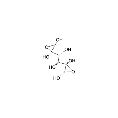 OC1O[C@]1(O)[C@H](O)[C@H](O)[C@]1(O)OC1O